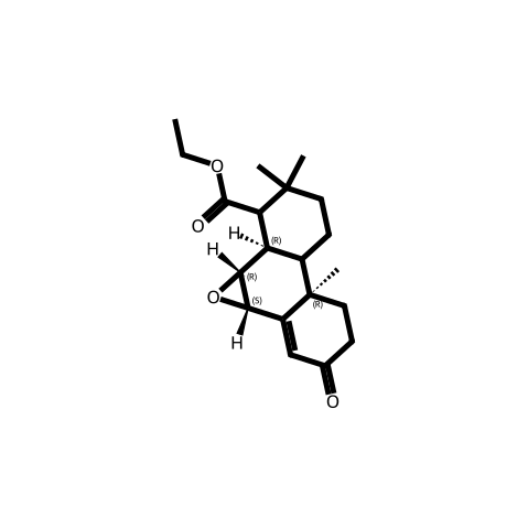 CCOC(=O)C1[C@H]2C(CCC1(C)C)[C@@]1(C)CCC(=O)C=C1[C@@H]1O[C@H]21